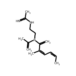 C=C(C)N(CCNC(C)=N)C(=C)/C(C)=C\C=C/C